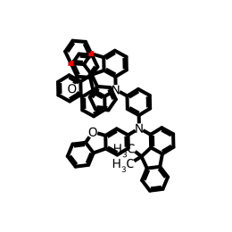 CC1(C)c2ccccc2-c2cccc(N(c3cccc(N(c4cccc5c4C(c4ccccc4)(c4ccccc4)c4ccccc4-5)c4cccc5oc6ccccc6c45)c3)c3ccc4c(c3)oc3ccccc34)c21